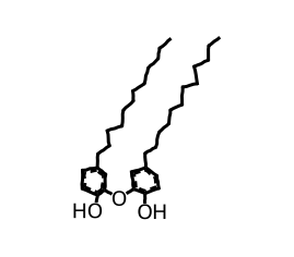 CCCCCCCCCCCCc1ccc(O)c(Oc2cc(CCCCCCCCCCCC)ccc2O)c1